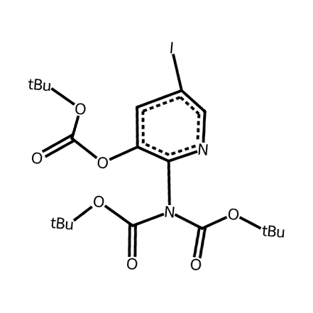 CC(C)(C)OC(=O)Oc1cc(I)cnc1N(C(=O)OC(C)(C)C)C(=O)OC(C)(C)C